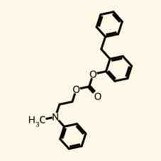 CN(CCOC(=O)Oc1ccccc1Cc1ccccc1)c1ccccc1